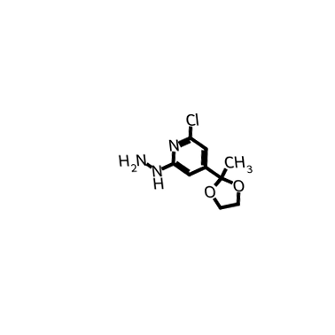 CC1(c2cc(Cl)nc(NN)c2)OCCO1